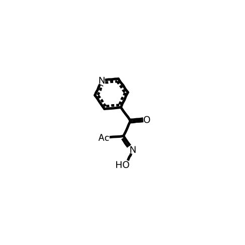 CC(=O)/C(=N\O)C(=O)c1ccncc1